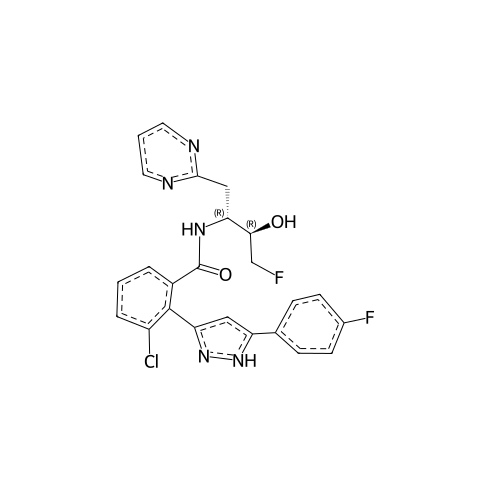 O=C(N[C@H](Cc1ncccn1)[C@@H](O)CF)c1cccc(Cl)c1-c1cc(-c2ccc(F)cc2)[nH]n1